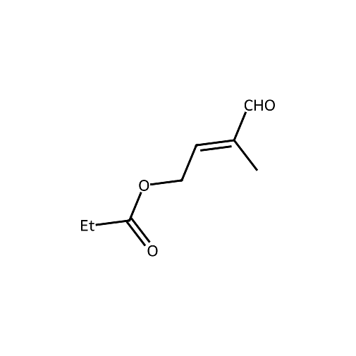 CCC(=O)OCC=C(C)C=O